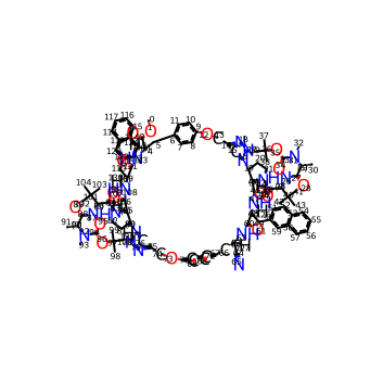 COC(=O)[C@@H]1Cc2ccc(cc2)OCc2cn(nn2)C2CCN(C(=O)[C@@H](NC(=O)[C@H](C)N(C)C(=O)OC(C)(C)C)C(C)(C)C)[C@@H]2C(=O)N[C@@H](Cc2ccc3ccccc3c2)C(=O)N[C@H](C#N)Cc2ccc(cc2)OCc2cn(nn2)[C@@H]2CCN(C(=O)[C@@H](NC(=O)[C@H](C)N(C)C(=O)OC(C)(C)C)C(C)(C)C)[C@@H]2C(=O)N[C@@H](Cc2ccc3ccccc3c2)C(=O)N1